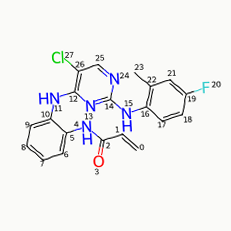 C=CC(=O)Nc1ccccc1Nc1nc(Nc2ccc(F)cc2C)ncc1Cl